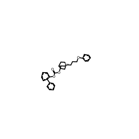 O=C(Oc1ccccc1-c1ccccc1)OC1C[N+]2(CCCOc3ccccc3)CCC1CC2